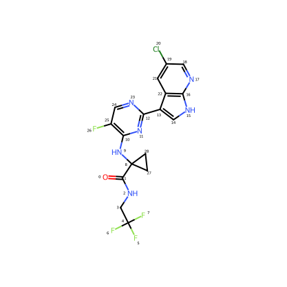 O=C(NCC(F)(F)F)C1(Nc2nc(-c3c[nH]c4ncc(Cl)cc34)ncc2F)CC1